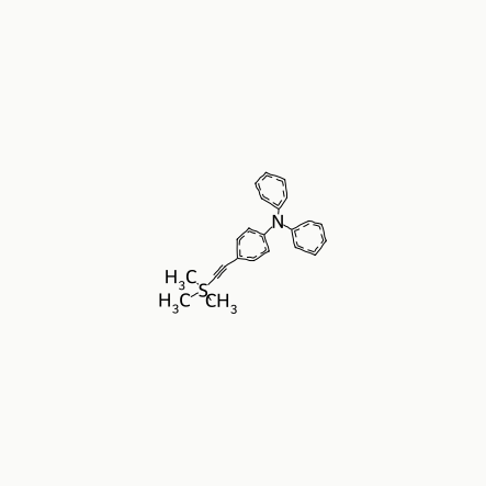 CS(C)(C)C#Cc1ccc(N(c2ccccc2)c2ccccc2)cc1